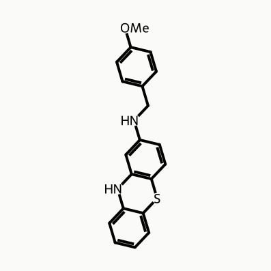 COc1ccc(CNc2ccc3c(c2)Nc2ccccc2S3)cc1